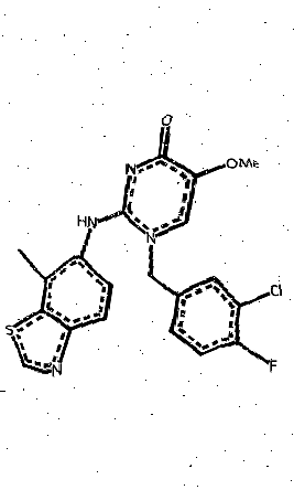 COc1cn(Cc2ccc(F)c(Cl)c2)c(Nc2ccc3ncsc3c2C)nc1=O